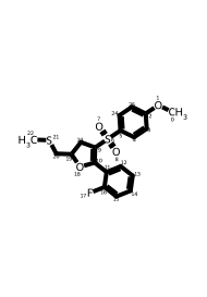 COc1ccc(S(=O)(=O)C2=C(c3ccccc3F)OC(CSC)C2)cc1